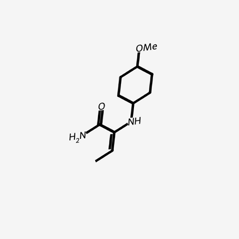 CC=C(NC1CCC(OC)CC1)C(N)=O